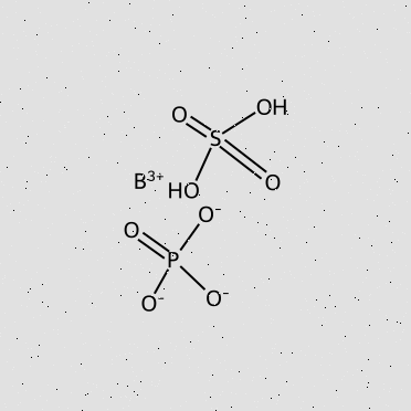 O=P([O-])([O-])[O-].O=S(=O)(O)O.[B+3]